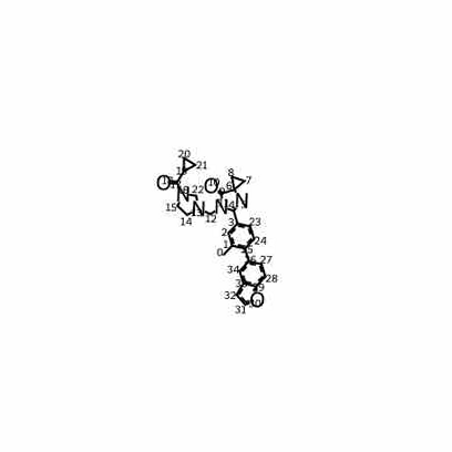 Cc1cc(C2=NC3(CC3)C(=O)N2CN2CCN(C(=O)C3CC3)C2)ccc1-c1ccc2occc2c1